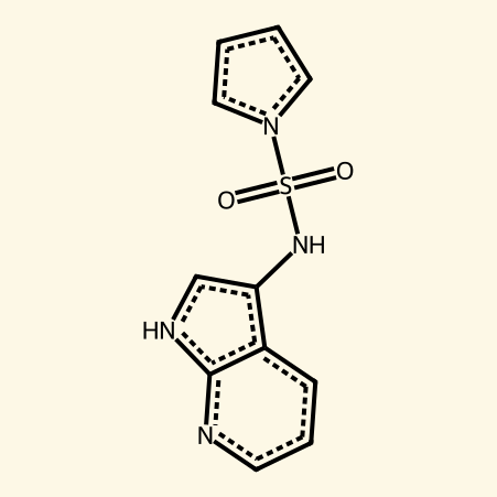 O=S(=O)(Nc1c[nH]c2ncccc12)n1cccc1